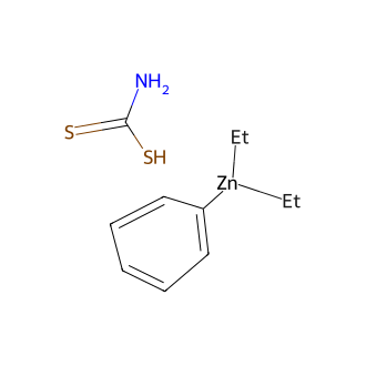 C[CH2][Zn]([CH2]C)[c]1ccccc1.NC(=S)S